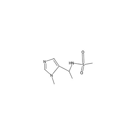 CC(NS(C)(=O)=O)c1cncn1C